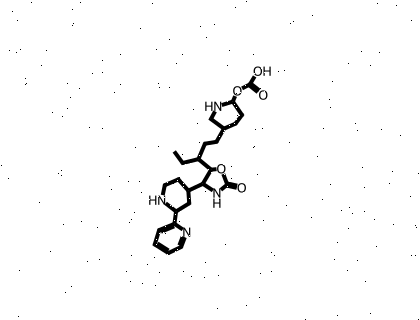 CCC(CCC1CCC(OC(=O)O)NC1)C1OC(=O)NC1C1CCNC(c2ccccn2)C1